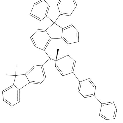 CC1(C)c2ccccc2-c2ccc(N(c3cccc4c3-c3ccccc3C4(c3ccccc3)c3ccccc3)[C@@]3(C)C=CC(c4ccc(-c5ccccc5)cc4)=CC3)cc21